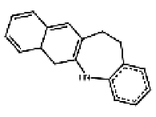 C1=CC2=CC3=C(CC2C=C1)Nc1ccccc1CC3